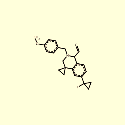 COc1ccc(CN2CC3(CC3)c3cc(C4(F)CC4)ccc3C2C=O)cc1